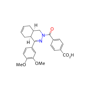 COc1ccc(C2=NN(C(=O)c3ccc(C(=O)O)cc3)C[C@@H]3CC=CC[C@H]23)cc1OC